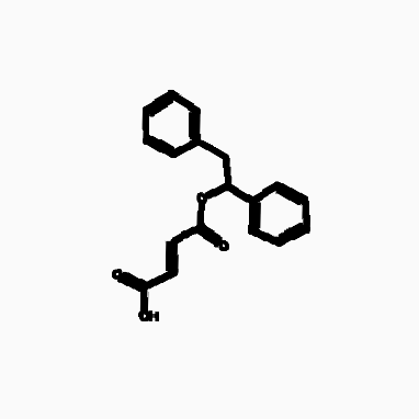 O=C(O)C=CC(=O)OC(Cc1ccccc1)c1ccccc1